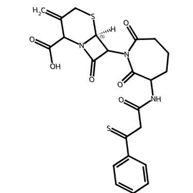 C=C1CS[C@H]2C(N3C(=O)CCCC(NC(=O)CC(=S)c4ccccc4)C3=O)C(=O)N2C1C(=O)O